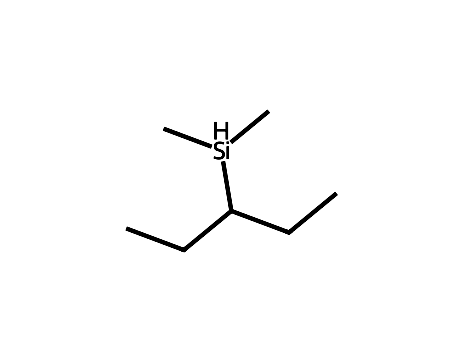 CCC(CC)[SiH](C)C